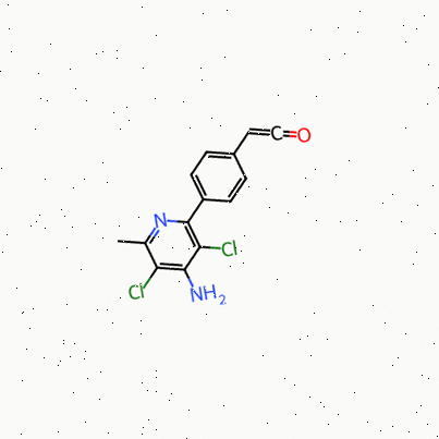 Cc1nc(-c2ccc(C=C=O)cc2)c(Cl)c(N)c1Cl